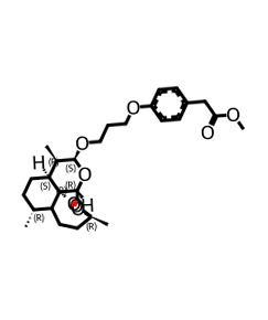 COC(=O)Cc1ccc(OCCCO[C@H]2O[C@@H]3O[C@@]4(C)CCC5[C@H](C)CC[C@@H]([C@H]2C)[C@]53OO4)cc1